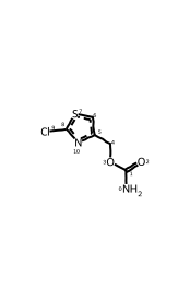 NC(=O)OCc1csc(Cl)n1